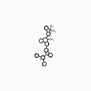 CC1C(C2=CC=C3C(C2)C2C=CC=CC2C3(C)C)CC2CCCCC2C2CC(C3C=c4c5c(n(-c6cc(-c7ccccc7)nc(C7C=CCCC7)c6)c4=CC3)C=CCC5)C=CC12